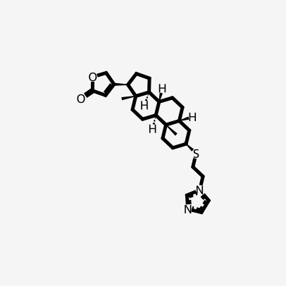 C[C@]12CC[C@H](SCCn3ccnc3)C[C@H]1CC[C@@H]1[C@@H]2CC[C@]2(C)[C@@H](C3=CC(=O)OC3)CC[C@@H]12